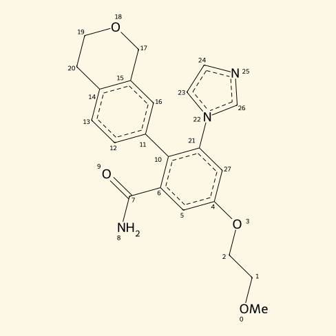 COCCOc1cc(C(N)=O)c(-c2ccc3c(c2)COCC3)c(-n2ccnc2)c1